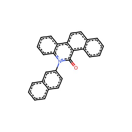 O=c1c2c3ccccc3ccc2c2ccccc2n1-c1ccc2ccccc2c1